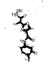 CC(C)(C)NC(=O)C(=O)c1nc(C(=O)Nc2ccc(F)c(Cl)c2)co1